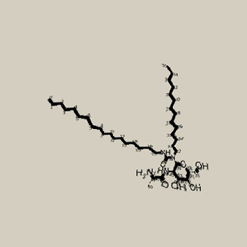 CCCCCCCCCCCCCCCCCCNC(=O)N(CCCCCCCCCCCCCC)[C@@H]1O[C@H](CO)[C@@H](O)[C@H](O)[C@H]1NC(=O)[C@H](C)N